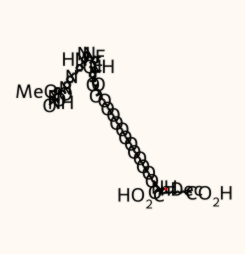 CCCCCCCCCCCC(CCCCCCCCCCC(=O)O)(C(=O)O)C(=O)NCCOCCOCCOCCOCCOCCOCCOCCOCCOCCOCCOCCOCCC(=O)CCC(=O)OC(C)(C)c1ccc(C(=O)Nc2cc(F)cc(-c3ncnc4[nH]c(-c5ccc(CCN6CCC7(CC6)CCN(C(=O)c6ccc(OC)c(N8CCC(=O)NC8=O)c6)CC7)cc5)cc34)c2C)c(F)c1